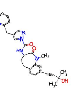 CN1C(=O)C(NC(=O)n2cc(Cc3ccccn3)cn2)CCc2ccc(C#CC(C)(C)O)cc21